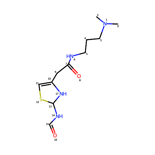 CN(C)CCCNC(=O)CC1=CSC(NC=O)N1